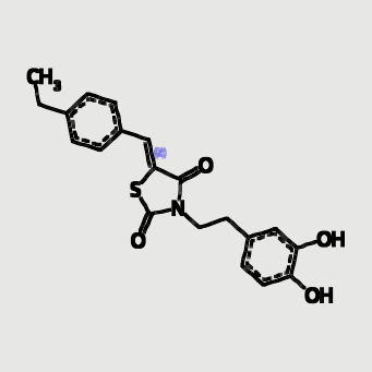 CCc1ccc(/C=C2\SC(=O)N(CCc3ccc(O)c(O)c3)C2=O)cc1